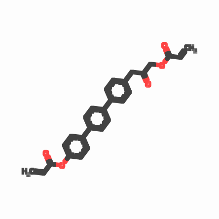 C=CC(=O)OCC(=O)Cc1ccc(-c2ccc(-c3ccc(OC(=O)C=C)cc3)cc2)cc1